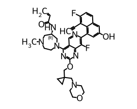 C#Cc1c(F)ccc2cc(O)cc(-c3ncc4c(N5CCN(C)C[C@@H](NC(=O)C=C)C5)nc(OCC5(CN6CCOCC6)CC5)nc4c3F)c12